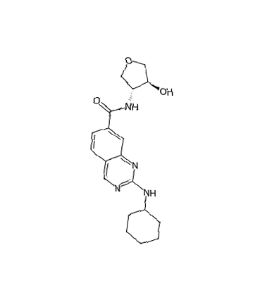 O=C(N[C@@H]1COC[C@H]1O)c1ccc2cnc(NC3CCCCC3)nc2c1